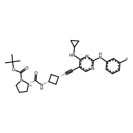 CC(C)(C)OC(=O)N1CCC[C@H]1C(=O)N[C@H]1C[C@@H](C#Cc2cnc(Nc3cccc(F)c3)nc2NC2CC2)C1